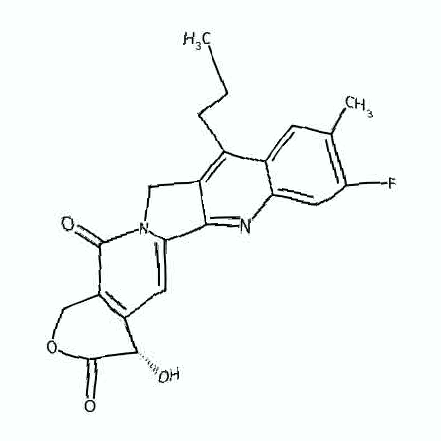 CCCc1c2c(nc3cc(F)c(C)cc13)-c1cc3c(c(=O)n1C2)COC(=O)[C@H]3O